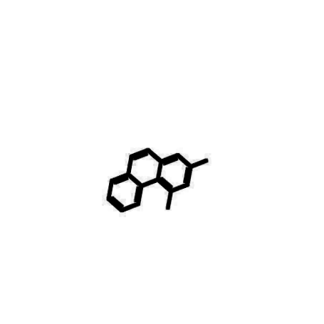 Cc1cc(C)c2c(ccc3ccccc32)c1